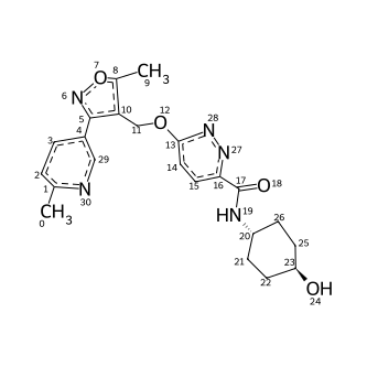 Cc1ccc(-c2noc(C)c2COc2ccc(C(=O)N[C@H]3CC[C@H](O)CC3)nn2)cn1